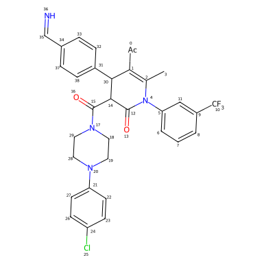 CC(=O)C1=C(C)N(c2cccc(C(F)(F)F)c2)C(=O)C(C(=O)N2CCN(c3ccc(Cl)cc3)CC2)C1c1ccc(C=N)cc1